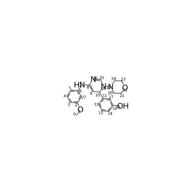 COc1cccc(NC2=CC(c3cccc(O)c3)N(N3CCOCC3)C=N2)c1